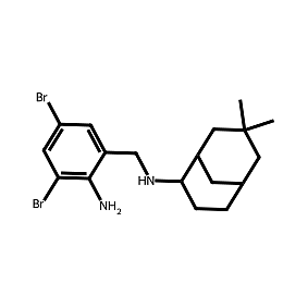 CC1(C)CC2CCC(NCc3cc(Br)cc(Br)c3N)C(C2)C1